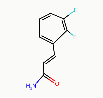 NC(=O)C=Cc1cccc(F)c1F